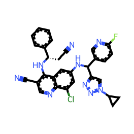 N#CC[C@H](Nc1c(C#N)cnc2c(Cl)cc(NC(c3ccc(F)nc3)c3cn(C4CC4)nn3)cc12)c1ccccc1